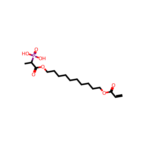 C=CC(=O)OCCCCCCCCCCOC(=O)C(C)P(=O)(O)O